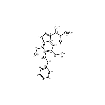 CCCC(C(=O)OC)c1coc2c(CO)c(OCc3ccccc3)c(CC(C)C)cc12